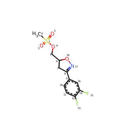 CS(=O)(=O)OCC1CC(c2ccc(F)c(F)c2)=NO1